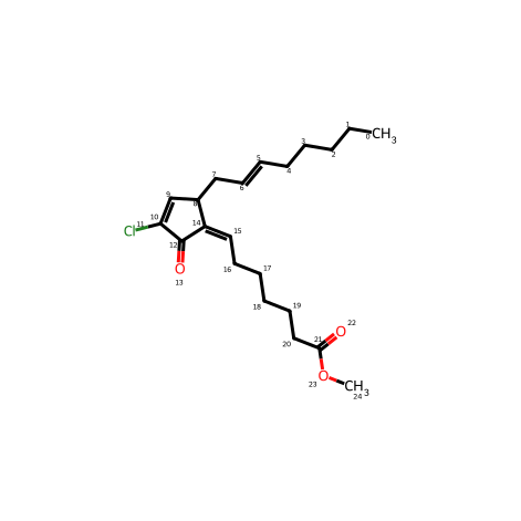 CCCCCC=CCC1C=C(Cl)C(=O)C1=CCCCCCC(=O)OC